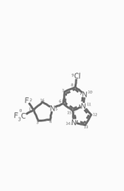 FC(F)(F)C1(F)CCN(c2cc(Cl)nn3ccnc23)C1